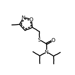 Cc1cc(CSC(=O)N(C(C)C)C(C)C)on1